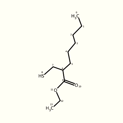 CCCCCCC(CS)C(=O)OCC